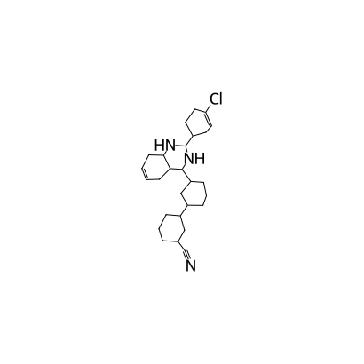 N#CC1CCCC(C2CCCC(C3NC(C4CC=C(Cl)CC4)NC4CC=CCC43)C2)C1